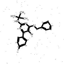 CC(C)(C)Nc1nc(SCc2ccccc2)c(Br)c(-c2ccc(F)cc2)n1